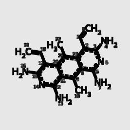 C=Cc1c(N)nc(N)c2c(C)c3c(N)nc(N)c(C=C)c3c(C)c12